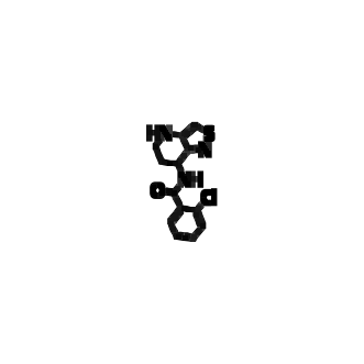 O=C(NC1CCNc2csnc21)c1ccccc1Cl